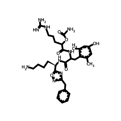 Cc1cc(O)cc(C)c1CC(NC(=O)C(CCCNC(=N)N)OC(N)=O)C(=O)N[C@H](CCCCN)c1nc(Cc2ccccc2)no1